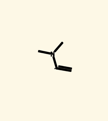 C=[C]N(C)C